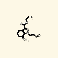 C=C1CCCc2c(C(=O)OCC)nn(CCN=O)c21